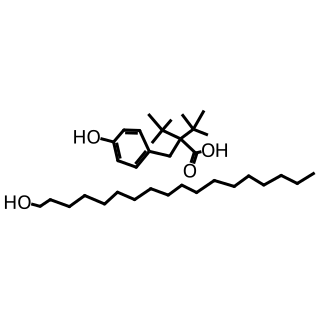 CC(C)(C)C(Cc1ccc(O)cc1)(C(=O)O)C(C)(C)C.CCCCCCCCCCCCCCCCCCO